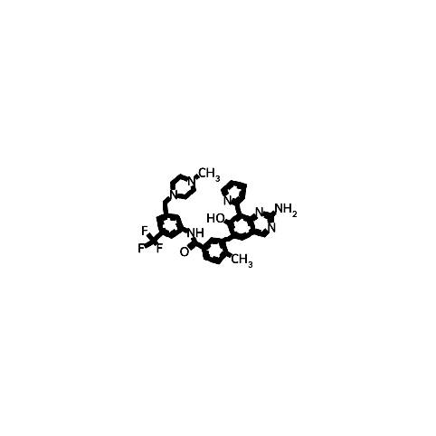 Cc1ccc(C(=O)Nc2cc(CN3CCN(C)CC3)cc(C(F)(F)F)c2)cc1-c1cc2cnc(N)nc2c(-c2ccccn2)c1O